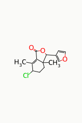 CC1=C2C(=O)OC(c3ccoc3)C2(C)CCC1Cl